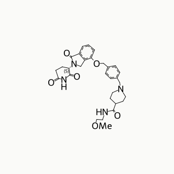 COCCNC(=O)C1CCN(Cc2ccc(COc3cccc4c3CN([C@H]3CCC(=O)NC3=O)C4=O)cc2)CC1